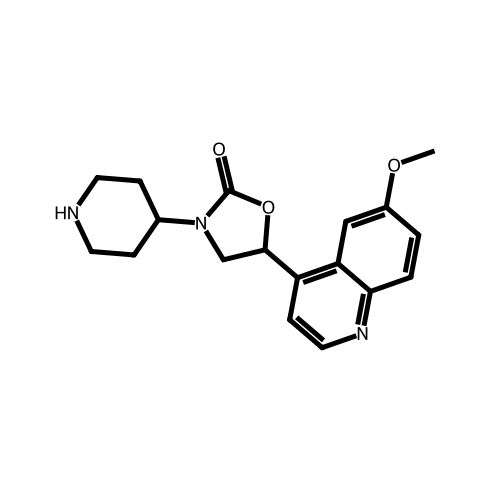 COc1ccc2nccc(C3CN(C4CCNCC4)C(=O)O3)c2c1